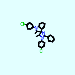 C/C(=N\c1ccc(Cl)cc1)C1(c2ccccc2)N=C(c2ccccc2)N(c2ccc(Cl)cc2)C1C